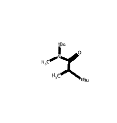 CC(C(=O)N(C)C(C)(C)C)C(C)(C)C